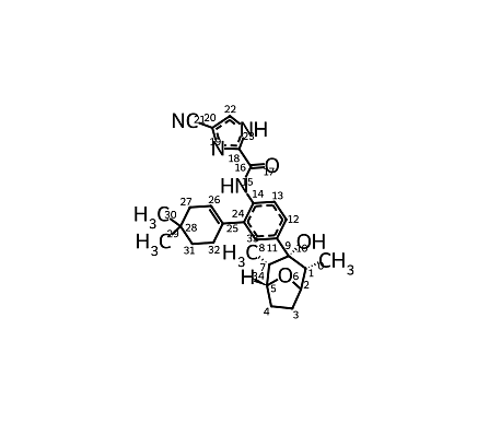 C[C@@H]1C2CC[C@@H](O2)[C@H](C)[C@@]1(O)c1ccc(NC(=O)c2nc(C#N)c[nH]2)c(C2=CCC(C)(C)CC2)c1